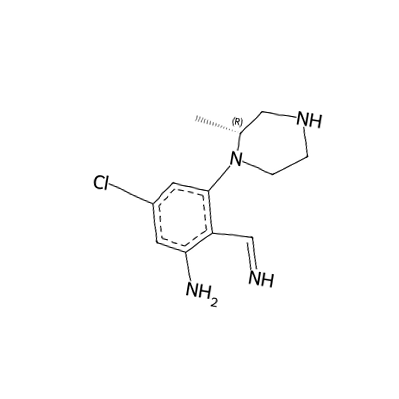 C[C@@H]1CNCCN1c1cc(Cl)cc(N)c1C=N